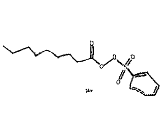 CCCCCCCCC(=O)OOS(=O)(=O)c1ccccc1.[Na]